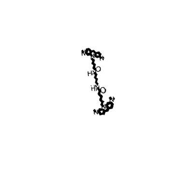 CN(C)c1ccc2cc3ccc(N(C)C)cc3[n+](CCCCCC(=O)NCCCCCNC(=O)CCCCC[n+]3c4cc(N(C)C)ccc4cc4ccc(N(C)C)cc43)c2c1